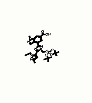 CCn1nc(C)cc1-c1nc(-c2cc(C(=O)O)cc3c2cnn3C)nn1COP(=O)(OC(C)(C)C)OC(C)(C)C